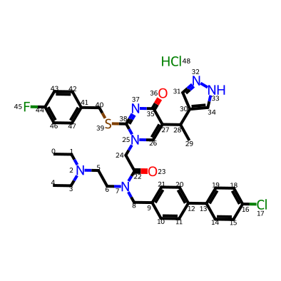 CCN(CC)CCN(Cc1ccc(-c2ccc(Cl)cc2)cc1)C(=O)Cn1cc(C(C)c2cn[nH]c2)c(=O)nc1SCc1ccc(F)cc1.Cl